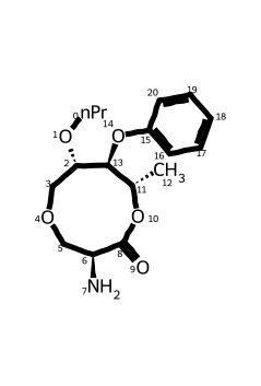 CCCO[C@H]1COC[C@H](N)C(=O)O[C@@H](C)[C@@H]1Oc1ccccc1